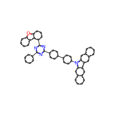 c1ccc(-c2nc(-c3ccc(-c4ccc(-n5c6cc7ccccc7cc6c6cc7ccccc7cc65)cc4)cc3)nc(-c3cccc4oc5ccccc5c34)n2)cc1